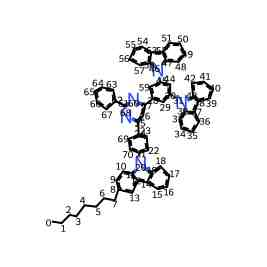 CCCCCCCCc1ccc2c(c1)c1ccccc1n2-c1ccc(-c2cc(-c3cc(-n4c5ccccc5c5ccccc54)cc(-n4c5ccccc5c5ccccc54)c3)nc(-c3ccccc3)n2)cc1